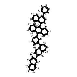 c1ccc(-c2ccc(-c3c4ccccc4c(-c4cccc(-c5cccc6cc7c(cc56)oc5cc6ccccc6cc57)c4)c4ccccc34)c3ccccc23)cc1